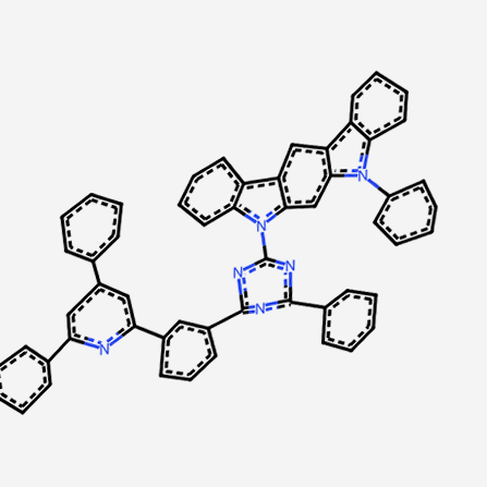 c1ccc(-c2cc(-c3ccccc3)nc(-c3cccc(-c4nc(-c5ccccc5)nc(-n5c6ccccc6c6cc7c8ccccc8n(-c8ccccc8)c7cc65)n4)c3)c2)cc1